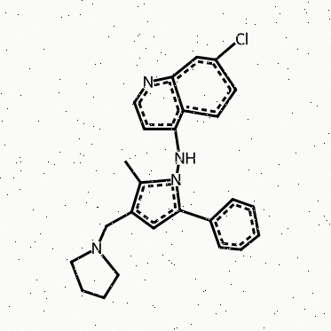 Cc1c(CN2CCCC2)cc(-c2ccccc2)n1Nc1ccnc2cc(Cl)ccc12